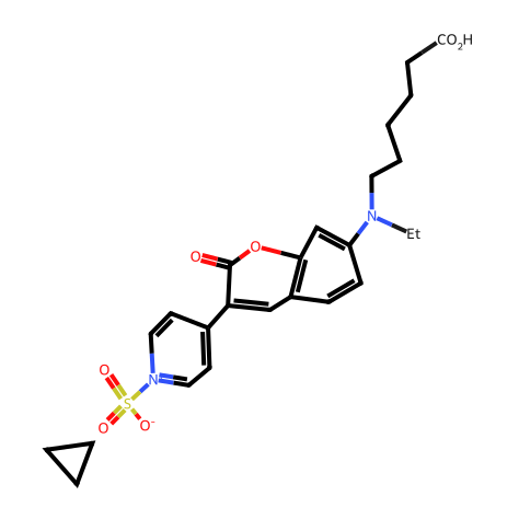 C1CC1.CCN(CCCCCC(=O)O)c1ccc2cc(-c3cc[n+](S(=O)(=O)[O-])cc3)c(=O)oc2c1